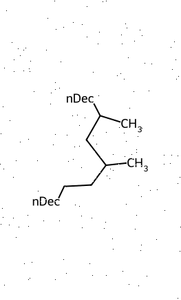 CCCCCCCCCCCCC(C)CC(C)CCCCCCCCCC